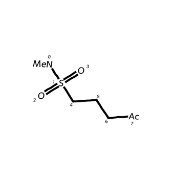 CNS(=O)(=O)CCCC(C)=O